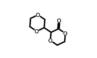 O=C1OCCOC1C1COCCO1